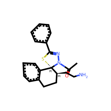 CC(=O)N1N=C(c2ccccc2)S[C@]12c1ccccc1CC[C@@H]2CCN